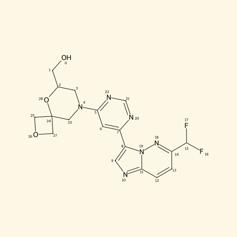 OCC1CN(c2cc(-c3cnc4ccc(C(F)F)nn34)ncn2)CC2(COC2)O1